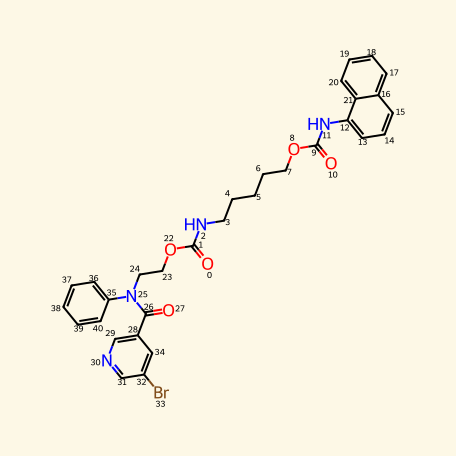 O=C(NCCCCCOC(=O)Nc1cccc2ccccc12)OCCN(C(=O)c1cncc(Br)c1)c1ccccc1